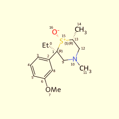 CC[C@@]1(c2cccc(OC)c2)CN(C)C[C@@H](C)[S@@+]1[O-]